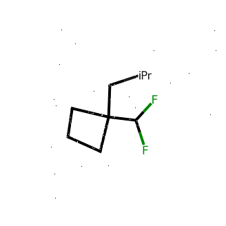 CC(C)CC1(C(F)F)CCC1